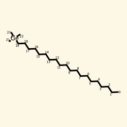 CCCCCCCCCCCCCCCCCCC[CH][Ge]([CH3])([CH3])[CH3]